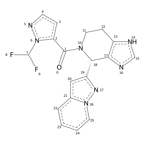 O=C(c1ccnn1C(F)F)N1CCc2[nH]cnc2[C@@H]1c1cc2ccccn2n1